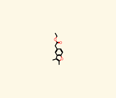 CCOC(=O)Cc1ccc2oc(C)c(C)c2c1